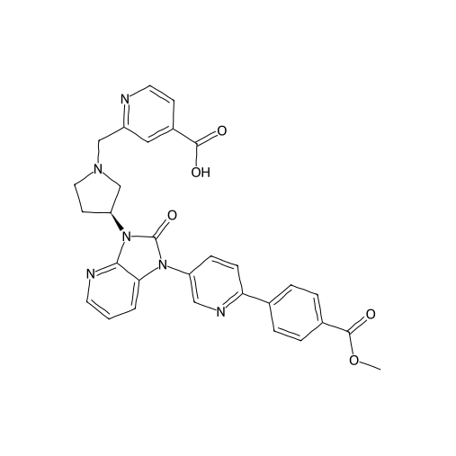 COC(=O)c1ccc(-c2ccc(-n3c(=O)n([C@H]4CCN(Cc5cc(C(=O)O)ccn5)C4)c4ncccc43)cn2)cc1